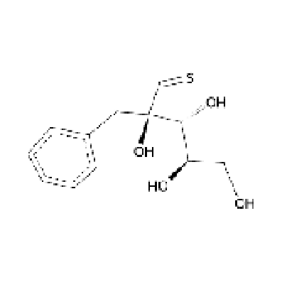 OC[C@@H](O)[C@@H](O)[C@@](O)(C=S)Cc1ccccc1